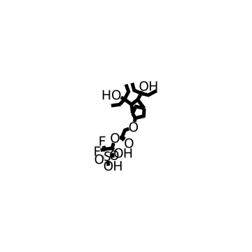 CCC(O)(CC)C1C2CC(OCC(=O)OC(O)C(F)(F)S(=O)(=O)O)C(C2)C1C(O)(CC)CC